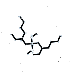 CCCCC(CC)C[Si](CC(CC)CCCC)(OC)OC